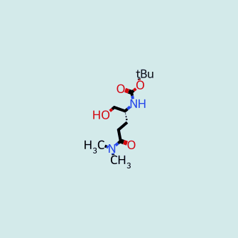 CN(C)C(=O)CC[C@H](CO)NC(=O)OC(C)(C)C